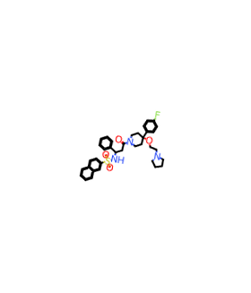 O=C(CC(NS(=O)(=O)c1ccc2ccccc2c1)c1ccccc1)N1CCC(OCCN2CCCC2)(c2ccc(F)cc2)CC1